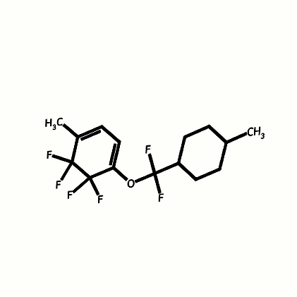 CC1=CC=C(OC(F)(F)C2CCC(C)CC2)C(F)(F)C1(F)F